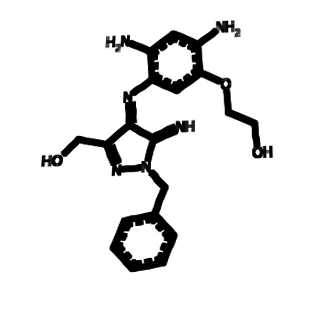 N=C1C(=Nc2cc(OCCO)c(N)cc2N)C(CO)=NN1Cc1ccccc1